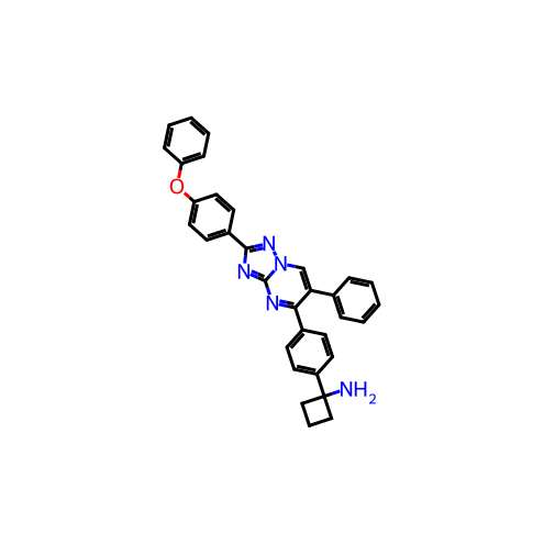 NC1(c2ccc(-c3nc4nc(-c5ccc(Oc6ccccc6)cc5)nn4cc3-c3ccccc3)cc2)CCC1